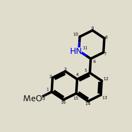 COc1ccc2c(C3CCCCN3)cccc2c1